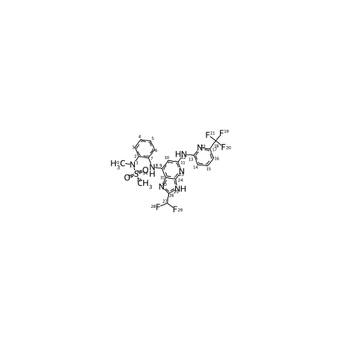 CN(c1ccccc1Nc1cc(Nc2cccc(C(F)(F)F)n2)nc2[nH]c(C(F)F)nc12)S(C)(=O)=O